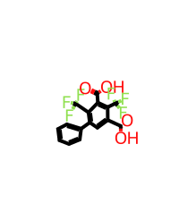 O=C(O)c1cc(-c2ccccc2)c(C(F)(F)F)c(C(=O)O)c1C(F)(F)F